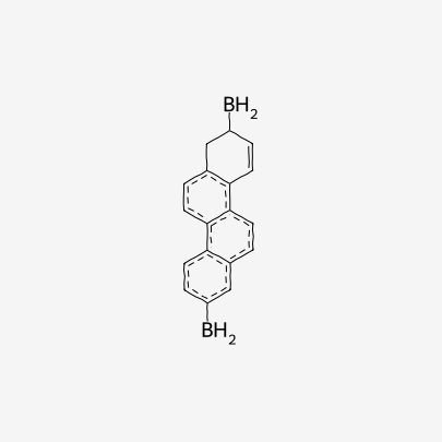 Bc1ccc2c(ccc3c4c(ccc32)CC(B)C=C4)c1